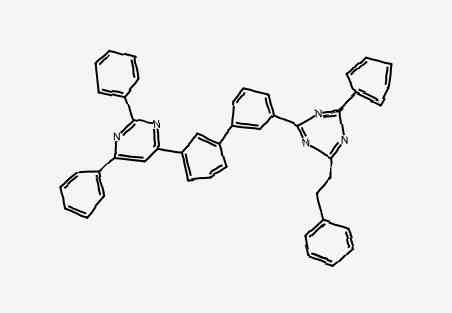 c1ccc(CCc2nc(-c3ccccc3)nc(-c3cccc(-c4cccc(-c5cc(-c6ccccc6)nc(-c6ccccc6)n5)c4)c3)n2)cc1